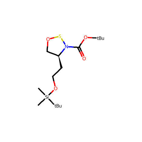 CC(C)(C)OC(=O)N1SOC[C@@H]1CCO[Si](C)(C)C(C)(C)C